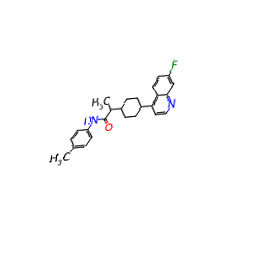 Cc1ccc(NC(=O)C(C)C2CCC(c3ccnc4cc(F)ccc34)CC2)cc1